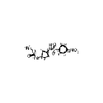 CC(C)(C)OC(=O)NC1CCC(NS(=O)(=O)c2ccc([N+](=O)[O-])cc2)C1